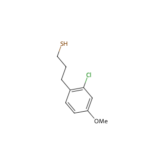 COc1ccc(CCCS)c(Cl)c1